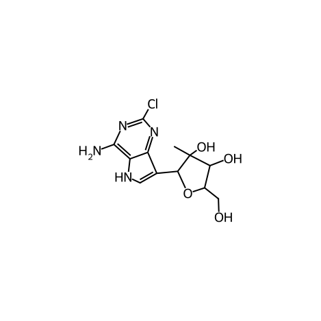 CC1(O)C(c2c[nH]c3c(N)nc(Cl)nc23)OC(CO)C1O